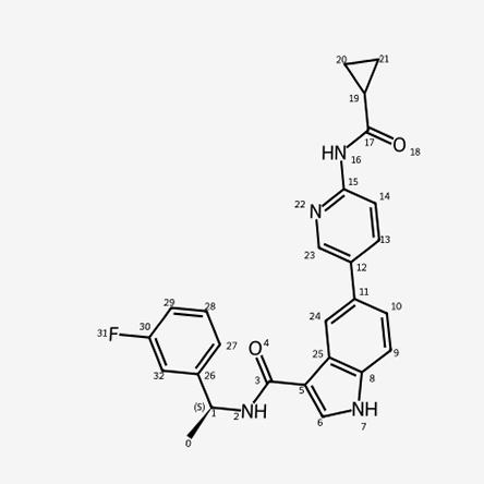 C[C@H](NC(=O)c1c[nH]c2ccc(-c3ccc(NC(=O)C4CC4)nc3)cc12)c1cccc(F)c1